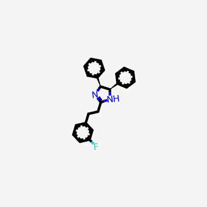 Fc1cccc(CCC2=N[C@@H](c3ccccc3)[C@@H](c3ccccc3)N2)c1